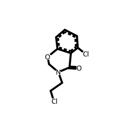 O=C1c2c(Cl)cccc2OCN1CCCl